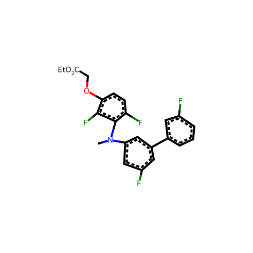 CCOC(=O)COc1ccc(F)c(N(C)c2cc(F)cc(-c3cccc(F)c3)c2)c1F